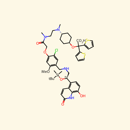 COc1cc(OCC(=O)N(C)CCN(C)[C@H]2CC[C@H](OC(C(=O)O)(c3cccs3)c3cccs3)CC2)c(Cl)cc1CNC[C@H](O[Si](C)(C)C(C)(C)C)c1ccc(O)c2[nH]c(=O)ccc12